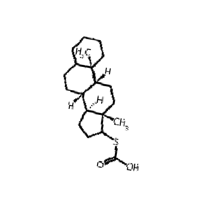 C[C@]12CCCCC1CC[C@@H]1[C@H]2CC[C@]2(C)C(SC(=O)O)CC[C@@H]12